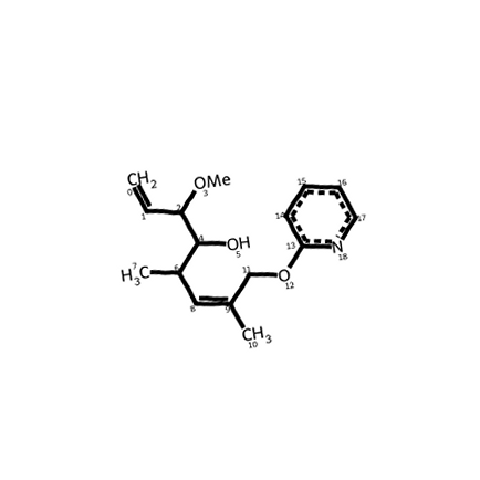 C=CC(OC)C(O)C(C)/C=C(/C)COc1ccccn1